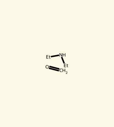 C=O.CCNCC